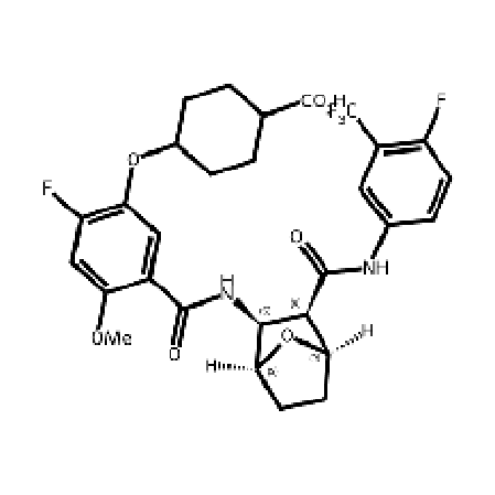 COc1cc(F)c(OC2CCC(C(=O)O)CC2)cc1C(=O)N[C@H]1[C@@H](C(=O)Nc2ccc(F)c(C(F)(F)F)c2)[C@H]2CC[C@@H]1O2